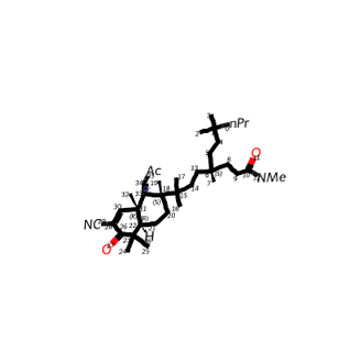 CCCC(C)(C)CC[C@](C)(CCC(=O)NC)CCC(C)(C)[C@]1(C)CC[C@H]2C(C)(C)C(=O)C(C#N)=C[C@]2(C)/C1=C/C(C)=O